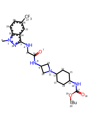 Cn1nc(NCC(=O)NC2CN(C3CCC(NC(=O)OC(C)(C)C)CC3)C2)c2cc(C(F)(F)F)ccc21